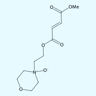 COC(=O)/C=C/C(=O)OCC[N+]1([O-])CCOCC1